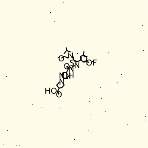 COCCN(Cc1sc(NC(=O)c2cnc(N3CCC(C(=O)O)CC3)cn2)nc1-c1cc(C)cc(OCF)c1)CC(C)C